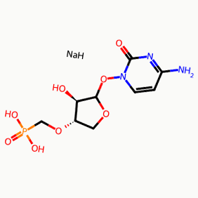 Nc1ccn(OC2OC[C@H](OCP(=O)(O)O)[C@H]2O)c(=O)n1.[NaH]